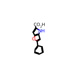 O=C(O)c1cc2oc(-c3ccccc3)cc2[nH]1